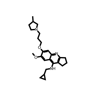 COc1cc2c(NCC3CC3)c3c(nc2cc1OCCCN1CCC(C)C1)CCC3